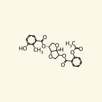 CC(=O)Oc1ccccc1C(=O)OC1COC2[C@@H]1OC[C@H]2OC(=O)c1cccc(O)c1C